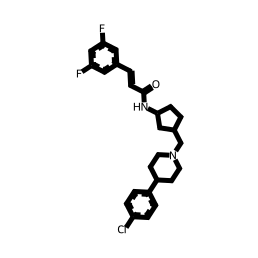 O=C(/C=C/c1cc(F)cc(F)c1)NC1CCC(CN2CCC(c3ccc(Cl)cc3)CC2)C1